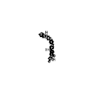 O=C1CCC(N2Cc3cc(C4(O)CCN(Cc5ccc(N6CCC(Nc7ncc8c(n7)OCCC8)CC6)cc5)CC4)ccc3C2=O)C(=O)N1